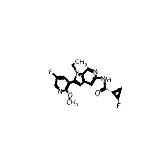 CCn1c(-c2cc(F)cnc2OC)cc2cc(NC(=O)[C@@H]3C[C@@H]3F)ncc21